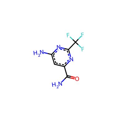 NC(=O)c1cc(N)nc(C(F)(F)F)n1